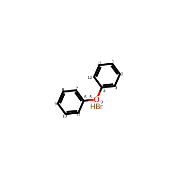 Br.c1ccc(Oc2ccccc2)cc1